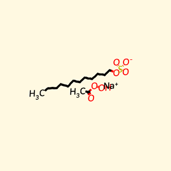 CC(=O)OO.CCCCCCCCCCCCOS(=O)(=O)[O-].[Na+]